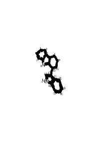 c1ccc2c(c1)N=C1C2CCCC1c1c[nH]c2ccccc12